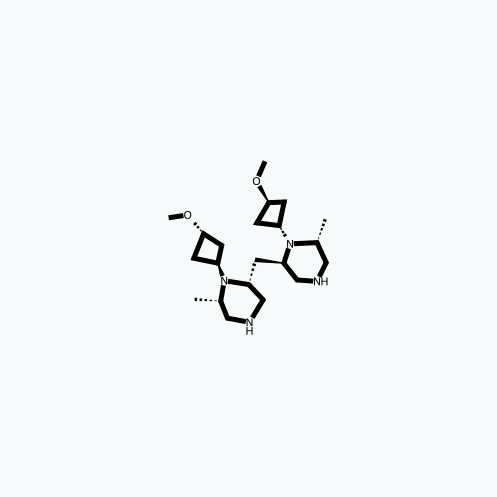 CO[C@H]1C[C@H](N2[C@H](C[C@@H]3CNC[C@H](C)N3[C@H]3C[C@H](OC)C3)CNC[C@H]2C)C1